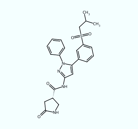 CC(C)CS(=O)(=O)c1cccc(-c2cc(NC(=O)[C@@H]3CNC(=O)C3)nn2-c2ccccc2)c1